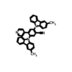 Cc1ccc2c(c1)c1ccccc1n2-c1cc(-c2ccncc2)c(-n2c3ccccc3c3cc(C)ccc32)cc1C#N